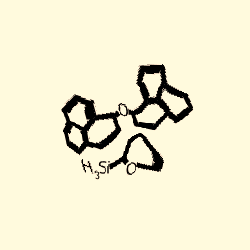 C1=CC(OC2C=Cc3cccc4cccc2c34)c2cccc3cccc1c23.[SiH3]C1CCCCO1